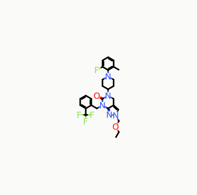 CCOCn1cc2c(n1)N(Cc1ccccc1C(F)(F)F)C(=O)N(C1CCN(c3c(C)cccc3F)CC1)C2